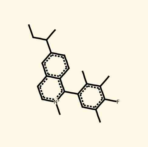 CCC(C)c1ccc2c(-c3cc(C)c(F)c(C)c3C)[n+](C)ccc2c1